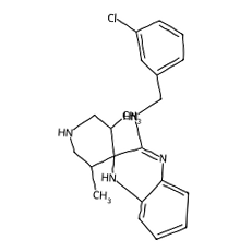 CC1CNCC(C)C12Nc1ccccc1N=C2NCc1cccc(Cl)c1